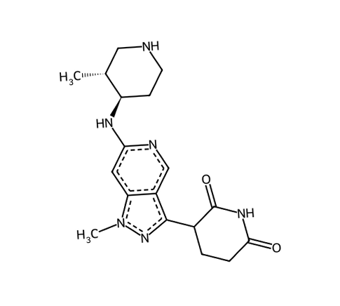 C[C@@H]1CNCC[C@H]1Nc1cc2c(cn1)c(C1CCC(=O)NC1=O)nn2C